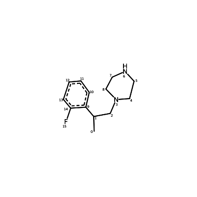 CC(CN1CCNCC1)c1ccccc1F